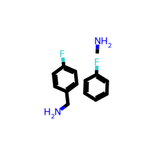 CN.Fc1ccccc1.NCc1ccc(F)cc1